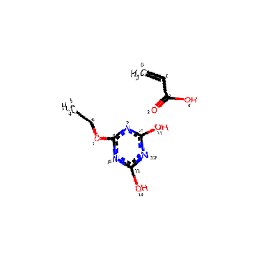 C=CC(=O)O.CCOc1nc(O)nc(O)n1